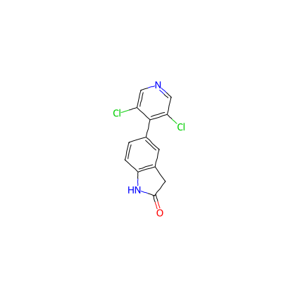 O=C1Cc2cc(-c3c(Cl)cncc3Cl)ccc2N1